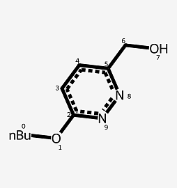 CCCCOc1ccc(CO)nn1